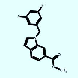 COC(=O)c1ccc2ccn(Cc3cc(F)cc(F)c3)c2c1